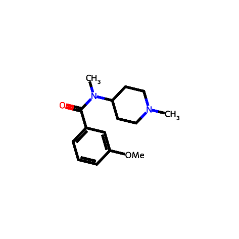 COc1cccc(C(=O)N(C)C2CCN(C)CC2)c1